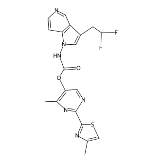 Cc1csc(-c2ncc(OC(=O)Nn3cc(CC(F)F)c4cnccc43)c(C)n2)n1